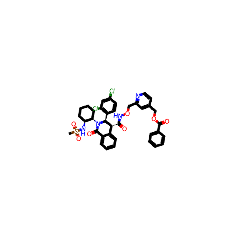 CS(=O)(=O)N[C@H]1CCCC[C@@H]1N1C(=O)c2ccccc2[C@@H](C(=O)NOCc2cc(COC(=O)c3ccccc3)ccn2)[C@@H]1c1ccc(Cl)cc1Cl